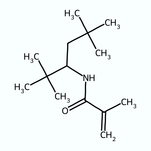 C=C(C)C(=O)NC(CC(C)(C)C)C(C)(C)C